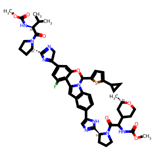 COC(=O)NC(C(=O)N1CCC[C@H]1c1ncc(-c2ccc3c(c2)cc2n3C(c3ccc(C4CC4)s3)Oc3cc(C4=NC([C@@H]5CCCN5C(=O)[C@@H](NC(=O)OC)C(C)C)=NC4)cc(F)c3-2)[nH]1)C1CCO[C@@H](C)C1